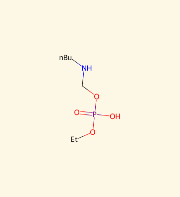 CCCCNCOP(=O)(O)OCC